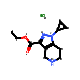 CCOC(=O)c1nn(C2CC2)c2c1CNCC2.Cl